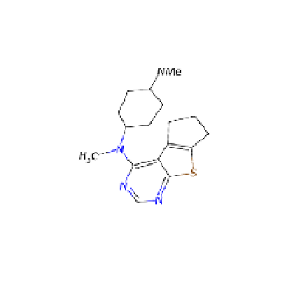 CNC1CCC(N(C)c2ncnc3sc4c(c23)CCC4)CC1